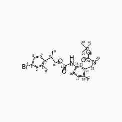 Cc1cc(Br)ccc1[C@@H](C)COC(=O)Nc1ccc(F)c(CN(C)C(=O)OC(C)(C)C)c1